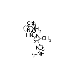 Cc1nc(NC(=O)N2CCC[C@@]2(C)C(N)=O)sc1-c1csc(NC2CC2)n1